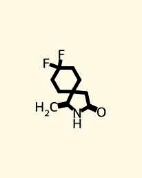 C=C1NC(=O)CC12CCC(F)(F)CC2